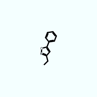 [CH2]Cc1cc(-c2ccccc2)on1